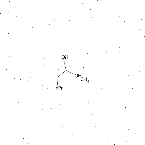 C.CCCCC(O)O